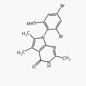 CSc1cc(Br)cc(Br)c1-n1c(C)c(C)c2c(=O)[nH]c(C)nc21